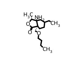 CCCCOC[C@@]12CCC(CC)C[C@]1(N)[C@@H](C)OC2=O